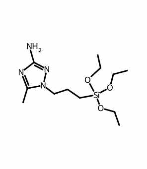 CCO[Si](CCCn1nc(N)nc1C)(OCC)OCC